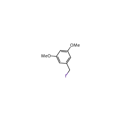 COc1cc(CI)cc(OC)c1